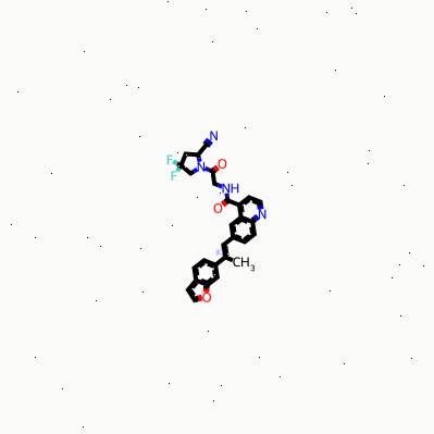 C/C(=C\c1ccc2nccc(C(=O)NCC(=O)N3CC(F)(F)CC3C#N)c2c1)c1ccc2ccoc2c1